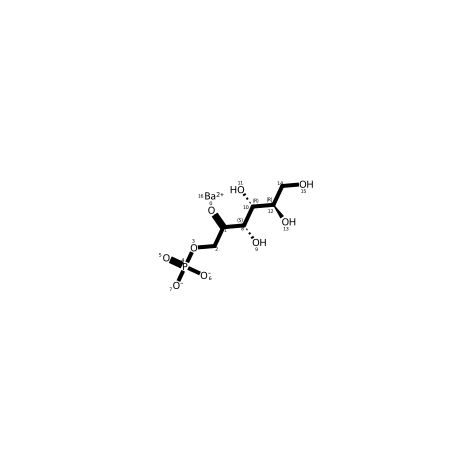 O=C(COP(=O)([O-])[O-])[C@@H](O)[C@H](O)[C@H](O)CO.[Ba+2]